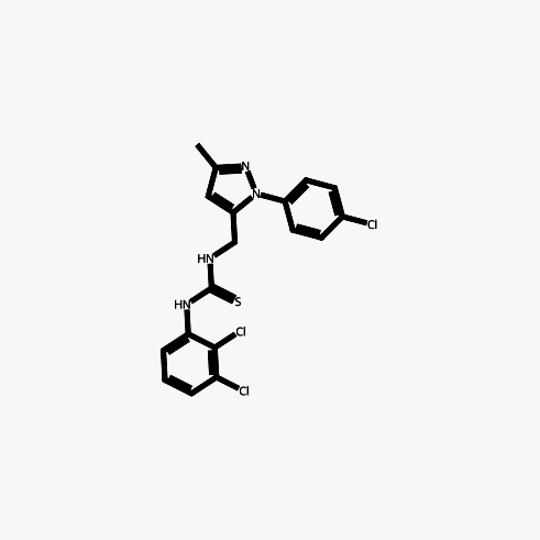 Cc1cc(CNC(=S)Nc2cccc(Cl)c2Cl)n(-c2ccc(Cl)cc2)n1